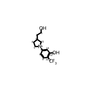 OCCC1CCN(c2ccc(C(F)(F)F)c(O)c2)C1